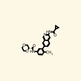 Cc1ccc(NC(=O)[C@H]2COCCO2)cc1-c1ccc2cc(NC(=O)C3CC3)ncc2c1